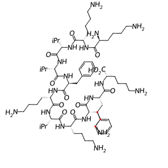 CC(C)[C@H](NC(=O)[C@H](CCCCN)NC(=O)[C@H](Cc1ccccc1)NC(=O)[C@@H](NC(=O)[C@@H](NC(=O)[C@H](CCCCN)NC(=O)[C@@H](N)CCCCN)C(C)C)C(C)C)C(=O)N[C@@H](CCCCN)C(=O)N[C@@H](Cc1ccccc1)C(=O)N[C@@H](CCCCN)C(=O)N[C@@H](CCCCN)C(=O)O